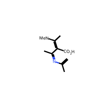 C=C(C)/N=C(C)\C(C(=O)O)=C(\C)NC